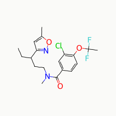 CCC(CCN(C)C(=O)c1ccc(OC(C)(F)F)c(Cl)c1)c1cc(C)on1